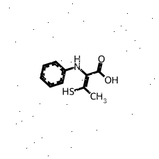 CC(S)=C(Nc1ccccc1)C(=O)O